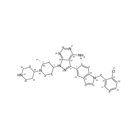 C[C@@H]1CC(n2nc(-c3ccc4c(ccn4Cc4ccccc4Cl)c3)c3c(N)ncnc32)CCN1C1CCNCC1